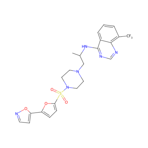 CC(CN1CCN(S(=O)(=O)c2ccc(-c3ccno3)o2)CC1)Nc1ncnc2c(C(F)(F)F)cccc12